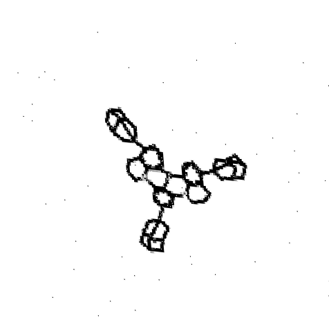 c1cc(C23CC4CC(CC(C4)C2)C3)c2c3c1B1c4ccc(C56CC7CC(CC(C7)C5)C6)c5c4N(CCC5)c4cc(C56CC7CC(CC(C7)C5)C6)cc(c41)N3CCC2